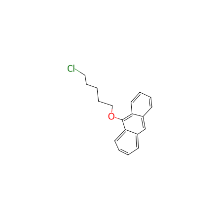 ClCCCCCOc1c2ccccc2cc2ccccc12